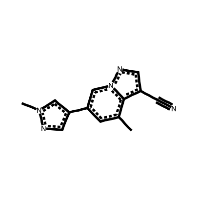 Cc1cc(-c2cnn(C)c2)cn2ncc(C#N)c12